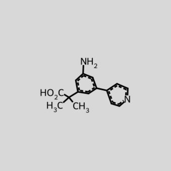 CC(C)(C(=O)O)c1cc(N)cc(-c2ccncc2)c1